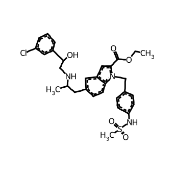 CCOC(=O)c1cc2cc(CC(C)NCC(O)c3cccc(Cl)c3)ccc2n1Cc1ccc(NS(C)(=O)=O)cc1